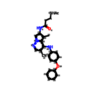 CC(=O)NCCC(=O)Nc1cn2ncc(C#N)c(Nc3ccc(Oc4ccccc4)cc3)c2c1C